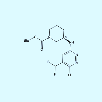 CC(C)(C)OC(=O)N1CCC[C@@H](Nc2cc(C(F)F)c(Cl)nn2)C1